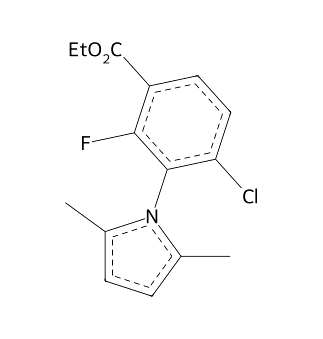 CCOC(=O)c1ccc(Cl)c(-n2c(C)ccc2C)c1F